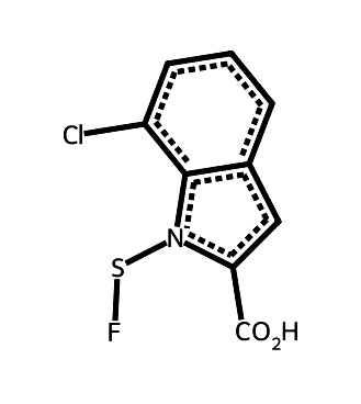 O=C(O)c1cc2cccc(Cl)c2n1SF